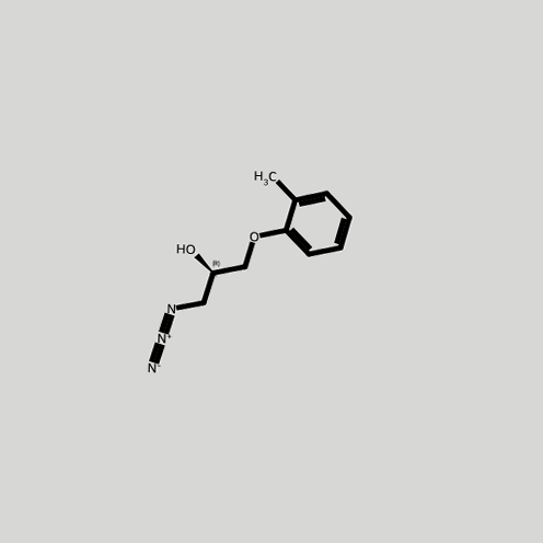 Cc1ccccc1OC[C@H](O)CN=[N+]=[N-]